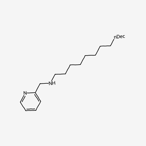 CCCCCCCCCCCCCCCCCCNCc1ccccn1